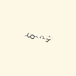 Clc1cnc2cc(/C=C/[C@@H]3CC[C@H](n4ccc5c(Cl)ncnc54)O3)ccc2c1